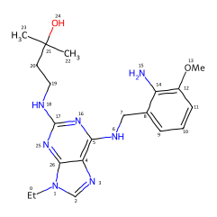 CCn1cnc2c(NCc3cccc(OC)c3N)nc(NCCC(C)(C)O)nc21